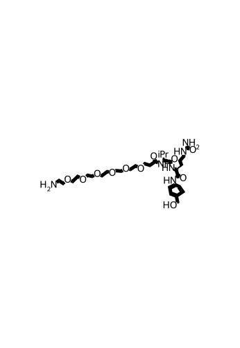 CC(C)[C@H](NC(=O)CCOCCOCCOCCOCCOCCOCCN)C(=O)N[C@@H](CCCNC(N)=O)C(=O)Nc1ccc(CO)cc1